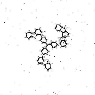 CC1(C)c2ccccc2-c2c1ccc1c2sc2c(-c3ccc(N(c4ccc(-c5cccc6c5sc5ccccc56)cc4)c4ccc(-c5cccc6c5sc5ccccc56)cc4)cc3)cccc21